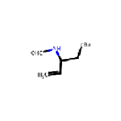 C=CC(CCCCC)NC=O